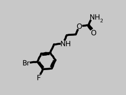 NC(=O)OCCNCc1ccc(F)c(Br)c1